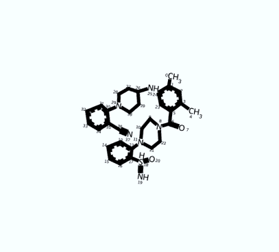 Cc1cc(C)c(C(=O)N2CCN(c3ccccc3[SH](=N)=O)CC2)cc1NC1CCN(c2ccccc2C#N)CC1